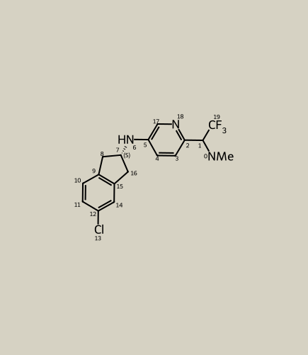 CNC(c1ccc(N[C@H]2Cc3ccc(Cl)cc3C2)cn1)C(F)(F)F